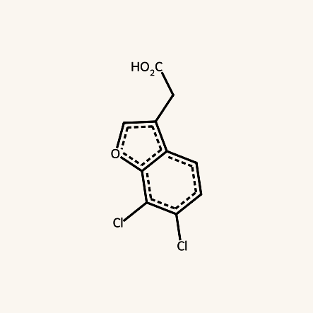 O=C(O)Cc1coc2c(Cl)c(Cl)ccc12